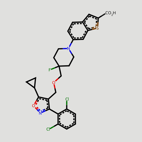 O=C(O)c1cc2ccc(N3CCC(F)(COCc4c(-c5c(Cl)cccc5Cl)noc4C4CC4)CC3)cc2s1